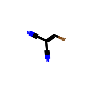 N#CC(C#N)=CBr